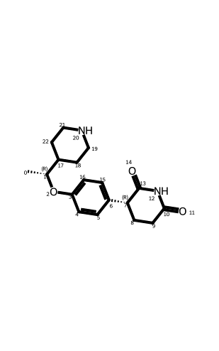 C[C@@H](Oc1ccc([C@H]2CCC(=O)NC2=O)cc1)C1CCNCC1